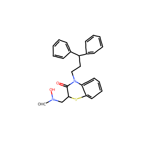 O=CN(O)CC1Sc2ccccc2N(CCC(c2ccccc2)c2ccccc2)C1=O